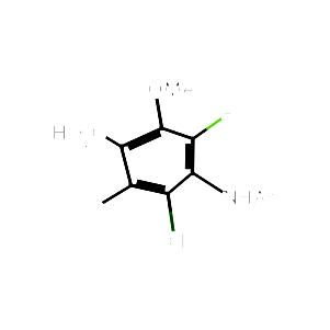 COc1c(F)c(NC(C)=O)c(Cl)c(C)c1C(=O)O